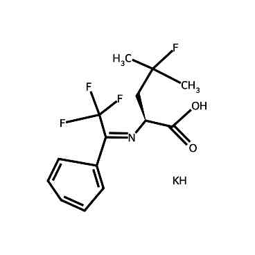 CC(C)(F)C[C@H](/N=C(/c1ccccc1)C(F)(F)F)C(=O)O.[KH]